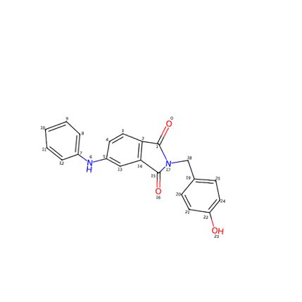 O=C1c2ccc(Nc3ccccc3)cc2C(=O)N1Cc1ccc(O)cc1